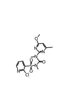 COc1cc(C)nc(N(C)C(=O)N(C)S(=O)(=O)c2cccnc2Cl)n1